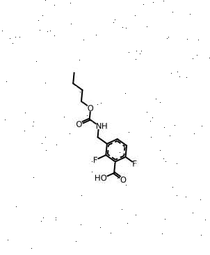 CCCCOC(=O)NCc1ccc(F)c(C(=O)O)c1F